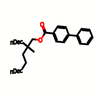 CCCCCCCCCCCCC(C)(CCCCCCCCCC)COC(=O)c1ccc(-c2ccccc2)cc1